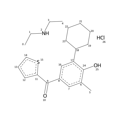 CCNCC.Cc1cc(C(=O)c2cccs2)cc(C2CCCCC2)c1O.Cl